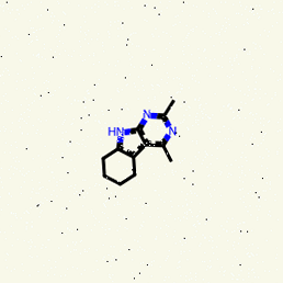 Cc1nc(C)c2c3c([nH]c2n1)CCCC3